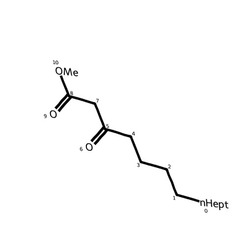 [CH2]CCCCCCCCCCC(=O)CC(=O)OC